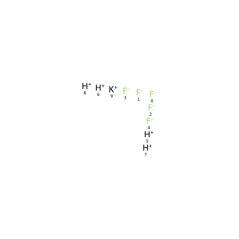 [F-].[F-].[F-].[F-].[F-].[H+].[H+].[H+].[H+].[K+]